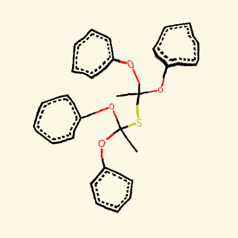 CC(Oc1ccccc1)(Oc1ccccc1)SC(C)(Oc1ccccc1)Oc1ccccc1